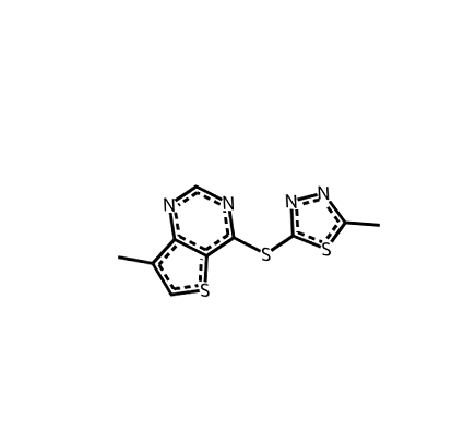 Cc1nnc(Sc2ncnc3c(C)csc23)s1